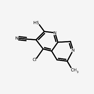 Cc1cc2c(Cl)c(C#N)c(S)nc2cn1